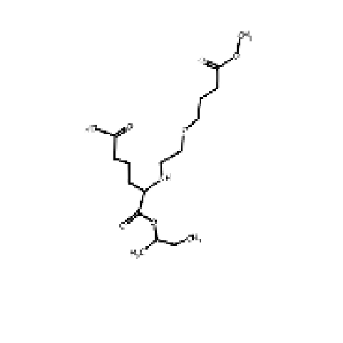 CCC(C)OC(=O)C(CCCC(=O)O)NCCSCCCC(=O)OC